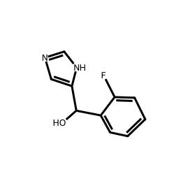 OC(c1cnc[nH]1)c1ccccc1F